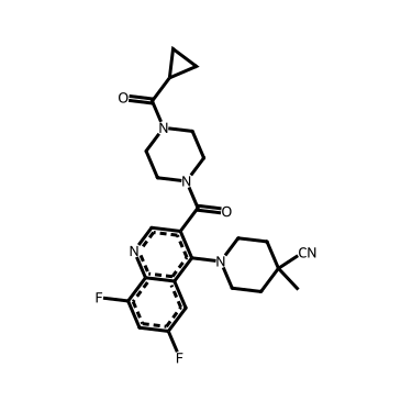 CC1(C#N)CCN(c2c(C(=O)N3CCN(C(=O)C4CC4)CC3)cnc3c(F)cc(F)cc23)CC1